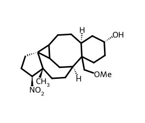 COCC12CC[C@@H](O)C[C@@H]1CCC1C3C[C@@H]2CC[C@]2(C)[C@@H]([N+](=O)[O-])CC[C@]132